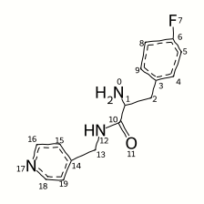 NC(Cc1ccc(F)cc1)C(=O)NCc1ccncc1